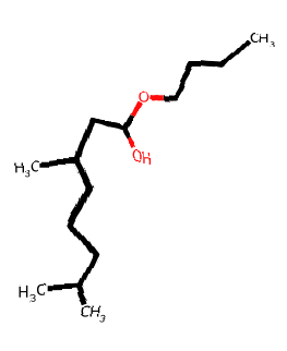 CCCCOC(O)CC(C)CCCC(C)C